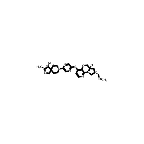 COC[C@H]1C[C@H]2COc3c(Sc4cnc(N5CCC6(CC5)CO[C@@H](C)[C@H]6N)cn4)ccnc3N2C1